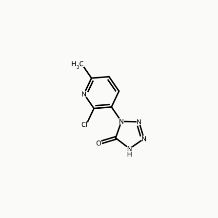 Cc1ccc(-n2nn[nH]c2=O)c(Cl)n1